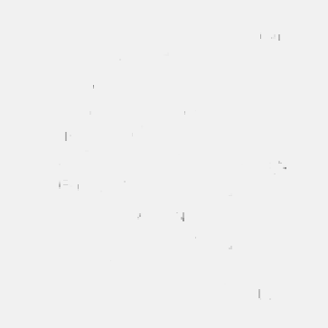 CC(C)(C)c1ccc2c3ccc(C(C)(C)C)cc3n(-c3cc(C#N)cc(-n4c5cc(C(C)(C)C)ccc5c5ccc(C(C)(C)C)cc54)c3-c3ccc(C(F)(F)F)cc3C(F)(F)F)c2c1